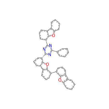 c1ccc(-c2nc(-c3cccc4c3oc3ccccc34)nc(-c3cccc4c3oc3c(-c5cccc6c5oc5ccccc56)cccc34)n2)cc1